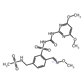 CO/N=C/c1ccc(CNS(C)(=O)=O)cc1S(=O)(=O)NC(=O)Nc1nc(OC)cc(OC)n1